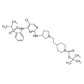 CC(C)S(=O)(=O)c1ccccc1Nc1nc(NC2CCN(CCC3CCN(C(=O)OC(C)(C)C)CC3)C2)ncc1Cl